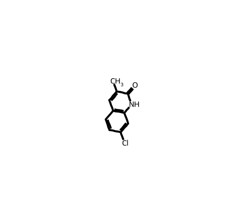 Cc1cc2ccc(Cl)cc2[nH]c1=O